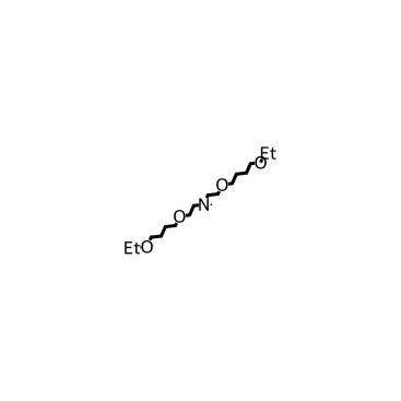 CCOCCCCOCC[N]CCOCCCCOCC